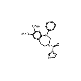 COc1cc2c(cc1OC)N(c1ccccc1)C[C@H](C(=O)n1ccnc1)CC2